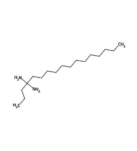 CCCCCCCCCCCCCC(N)(N)CCC